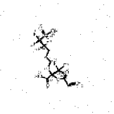 C=CC(=O)OC(OCCCC(F)(F)C(F)(F)S(=O)(=O)O)(C(=O)O)C(F)(F)F